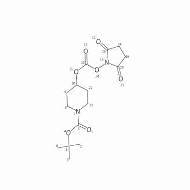 CC(C)(C)OC(=O)N1CCC(OC(=O)ON2C(=O)CCC2=O)CC1